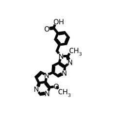 COc1ncnc2ccn(-c3cnc4nc(C)n(Cc5cccc(C(=O)O)c5)c4c3)c12